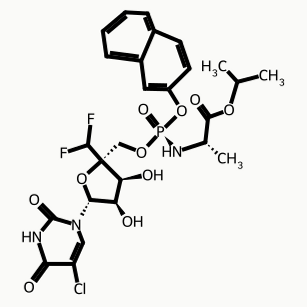 CC(C)OC(=O)[C@H](C)N[P@](=O)(OC[C@@]1(C(F)F)O[C@@H](n2cc(Cl)c(=O)[nH]c2=O)[C@H](O)[C@@H]1O)Oc1ccc2ccccc2c1